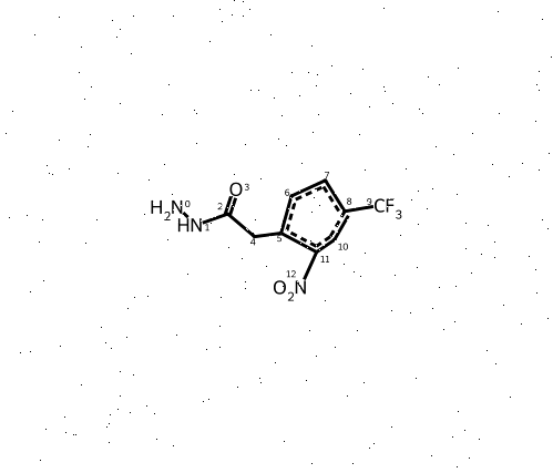 NNC(=O)Cc1ccc(C(F)(F)F)cc1[N+](=O)[O-]